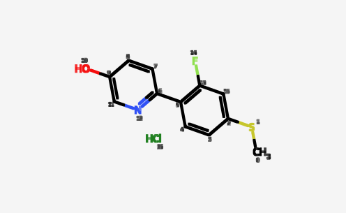 CSc1ccc(-c2ccc(O)cn2)c(F)c1.Cl